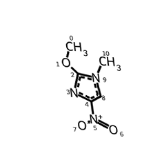 COc1nc([N+](=O)[O-])cn1C